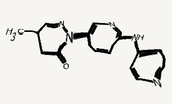 CC1C=NN(c2ccc(Nc3ccncc3)nc2)C(=O)C1